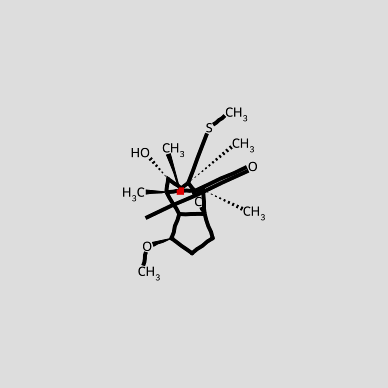 CO[C@@H]1CCC23CC[C@@H](C)[C@](C)(C12)[C@H](O)C[C@@](C)(SC)C(=O)[C@@H]3C